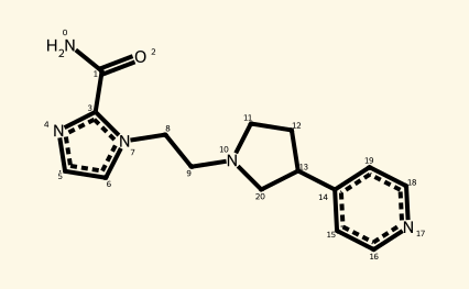 NC(=O)c1n[c]cn1CCN1CCC(c2ccncc2)C1